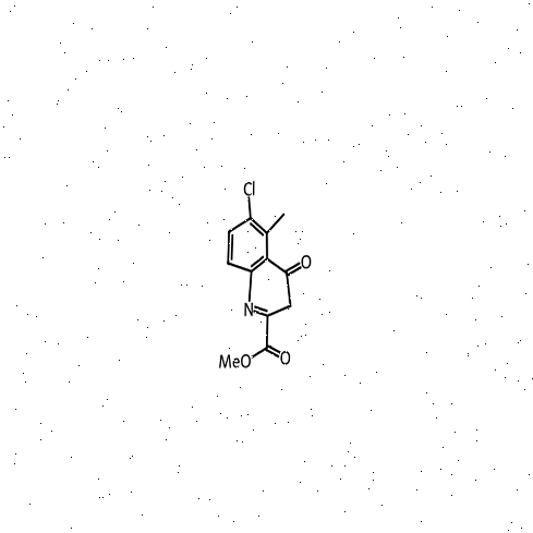 COC(=O)C1=Nc2ccc(Cl)c(C)c2C(=O)C1